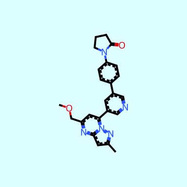 COCc1cc(-c2cncc(-c3ccc(N4CCCC4=O)cc3)c2)n2nc(C)cc2n1